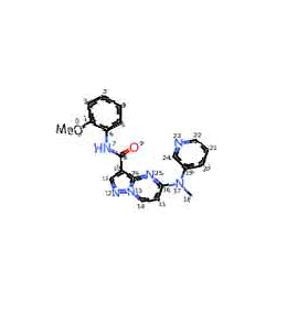 COc1ccccc1NC(=O)c1cnn2ccc(N(C)c3cccnc3)nc12